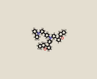 c1cc(-c2cccc3oc4c5ccccc5ccc4c23)cc(N(c2ccc(-c3cccc(-n4c5ccccc5c5ccccc54)c3)cc2)c2ccc(-c3cccc4oc5c6ccccc6ccc5c34)cc2)c1